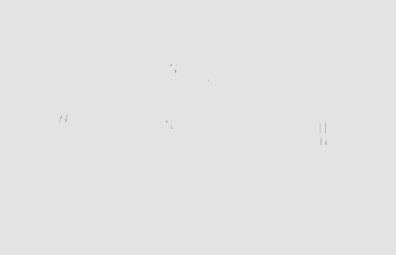 CNc1cccc(-c2nc(-c3cccnc3)no2)c1